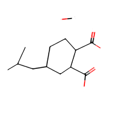 CC(C)CC1CCC(C(=O)[O-])C(C(=O)[O-])C1.[OH][Al+2]